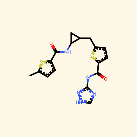 Cc1ccc(C(=O)NC2CC2Cc2ccc(C(=O)Nc3nc[nH]n3)s2)s1